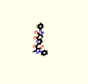 CC1=NN(c2ccccc2)C(=O)C1C(=O)c1cccc(C(=O)C2C(=O)N(c3ccccc3)N=C2C)n1